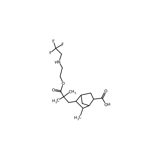 CC1C(CC(C)(C)C(=O)OCCNCC(F)(F)F)C2CC(C(=O)O)C1C2